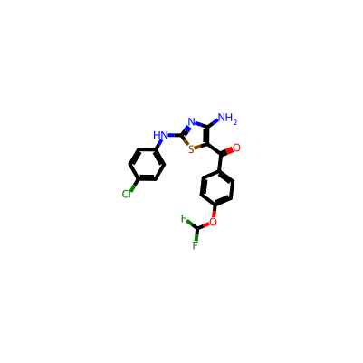 Nc1nc(Nc2ccc(Cl)cc2)sc1C(=O)c1ccc(OC(F)F)cc1